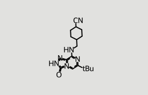 CC(C)(C)c1cn2c(=O)[nH]nc2c(NCC2CCC(C#N)CC2)n1